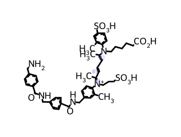 C\C(=C/C=C/C(C)=[N+](\CCCS(=O)(=O)O)c1ccc(CNC(=O)c2ccc(CNC(=O)c3ccc(CN)cc3)cc2)cc1C)N(CCCCCC(=O)O)c1ccc(S(=O)(=O)O)cc1C